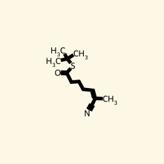 CC(C#N)=CCCCC(=O)SC(C)(C)C